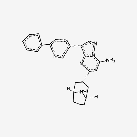 Nc1cc([C@@H]2C[C@H]3CC[C@@H](C2)N3)nc2c(-c3ccc(-c4ccccc4)nc3)cnn12